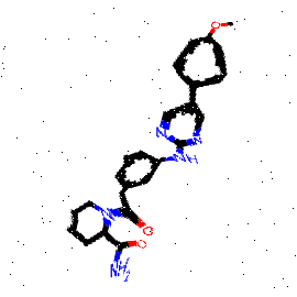 COc1ccc(-c2cnc(Nc3cccc(C(=O)N4CCCCC4C(N)=O)c3)nc2)cc1